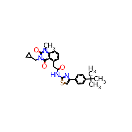 Cn1c(=O)n(CC2CC2)c(=O)c2c(CC(=O)Nc3nc(-c4ccc(C(C)(C)C)cc4)cs3)cccc21